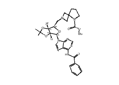 CC(C)(C)OC(=O)N1CCCC12CN(C[C@H]1O[C@@H](n3cnc4c(NC(=O)c5ccccc5)ncnc43)[C@@H]3OC(C)(C)O[C@@H]31)C2